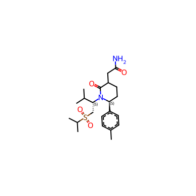 Cc1ccc([C@@H]2CCC(CC(N)=O)C(=O)N2[C@H](CS(=O)(=O)C(C)C)C(C)C)cc1